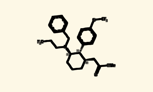 COC(=O)C[C@H]1CCC[C@@H](N(CCC(F)(F)F)Cc2ccccc2)[C@@H]1c1ccc(OC(F)(F)F)cc1